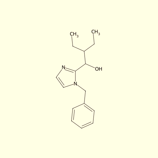 CCC(CC)C(O)c1nccn1Cc1ccccc1